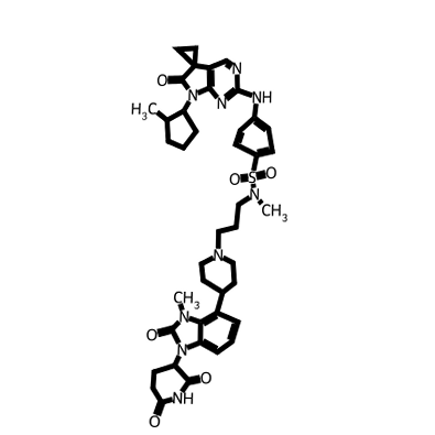 CC1CCCC1N1C(=O)C2(CC2)c2cnc(Nc3ccc(S(=O)(=O)N(C)CCCN4CCC(c5cccc6c5n(C)c(=O)n6C5CCC(=O)NC5=O)CC4)cc3)nc21